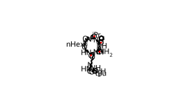 CCCCCC[C@H]1OC[C@@H](C)NC(=O)[C@H](COCCCN=C(NC(=O)O)NC(=O)OC(C)(C)C)NC(=O)[C@H](CN)NC(=O)[C@H](C2CCCCC2)NC(=O)[C@H](CC(C)C)N(C)C(=O)[C@@H]1C